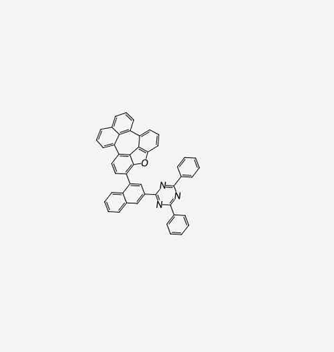 c1ccc(-c2nc(-c3ccccc3)nc(-c3cc(-c4ccc5c6c4oc4cccc(c46)-c4cccc6cccc-5c46)c4ccccc4c3)n2)cc1